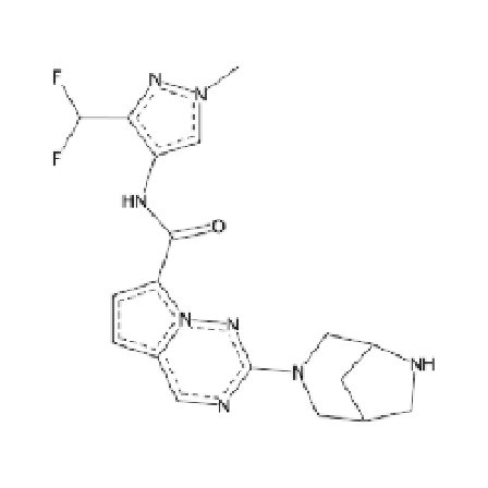 Cn1cc(NC(=O)c2ccc3cnc(N4CC5CNC(C5)C4)nn23)c(C(F)F)n1